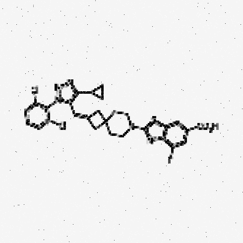 O=C(O)c1cc(F)c2nc(N3CCC4(CC3)CC(=Cc3c(C5CC5)nnn3-c3c(Cl)cccc3Cl)C4)sc2c1